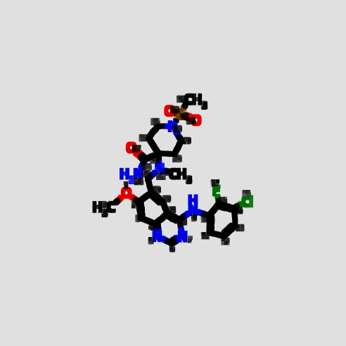 COc1cc2ncnc(Nc3cccc(Cl)c3F)c2cc1CN(C)C1(C(N)=O)CCN(S(C)(=O)=O)CC1